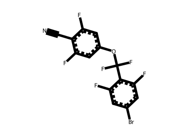 N#Cc1c(F)cc(OC(F)(F)c2c(F)cc(Br)cc2F)cc1F